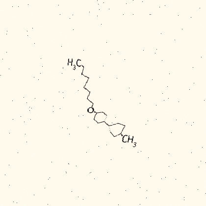 CCCCCCCCO[C@H]1CC[C@H]([C@H]2CC[C@H](C)CC2)CC1